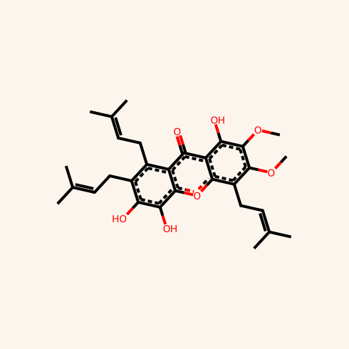 COc1c(OC)c(O)c2c(=O)c3c(CC=C(C)C)c(CC=C(C)C)c(O)c(O)c3oc2c1CC=C(C)C